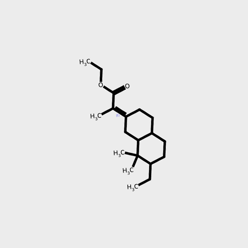 CCOC(=O)/C(C)=C1\CCC2CCC(CC)C(C)(C)C2C1